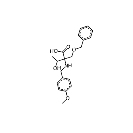 COc1ccc(CNC(COCc2ccccc2)(C(=O)O)C(C)O)cc1